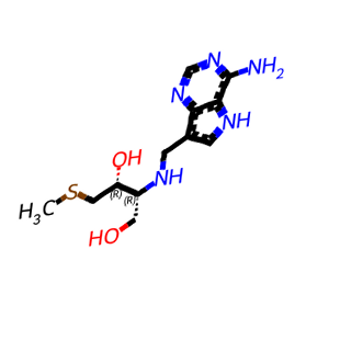 CSC[C@H](O)[C@@H](CO)NCc1c[nH]c2c(N)ncnc12